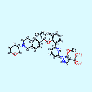 CCOc1c(C(O)O)cnn1-c1cccc(-c2cccc(C)c2OCc2ccc3c(c2C)CCN([C@H]2CCCOC2)C3)n1